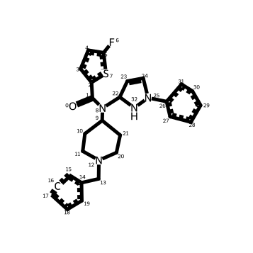 O=C(c1ccc(F)s1)N(C1CCN(Cc2ccccc2)CC1)C1C=CN(c2ccccc2)N1